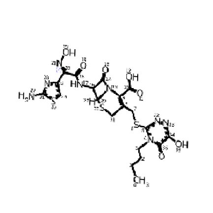 CCCCn1c(SCC2=C(C(=O)O)N3C(=O)C(NC(=O)/C(=N\O)c4csc(N)n4)[C@H]3SC2)nnc(O)c1=O